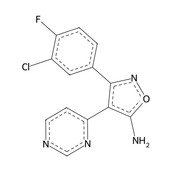 Nc1onc(-c2ccc(F)c(Cl)c2)c1-c1ccncn1